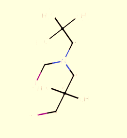 CC(C)(C)CN(CI)CC(C)(C)CI